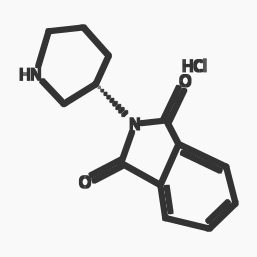 Cl.O=C1c2ccccc2C(=O)N1[C@H]1CCCNC1